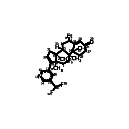 CCC1C[C@@H]2[C@](C)(CC[C@]3(C)C(c4cncc(C(F)F)c4)=CC[C@@]23C)[C@@]2(C)CCC(=O)C=C12